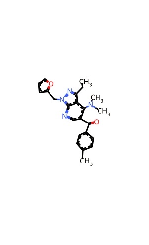 CCc1nn(Cc2ccco2)c2ncc(C(=O)c3ccc(C)cc3)c(N(C)C)c12